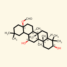 CC1(C)CC[C@]2(OC=O)CC[C@]3(C)C(C2C1)[C@H](O)C[C@@]1(C)[C@@]3(C)CC[C@H]2C(C)(C)[C@@H](O)CC[C@@]21C